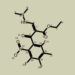 CCOC(=O)/C(=C/NN(C)C)C(=O)c1c(F)c(C)c(F)c(F)c1[N+](=O)[O-]